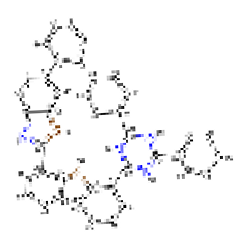 c1ccc(-c2ccc3nc(-c4cccc5c4sc4c(-c6nc(-c7ccccc7)nc(-c7ccccc7)n6)cccc45)sc3c2)cc1